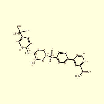 NC(=O)c1cc(-c2ccc(S(=O)(=O)N3CC[C@@H](Nc4ccc(C(F)(F)F)cn4)[C@@H](O)C3)cc2)cnn1